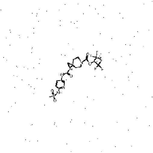 CS(=O)(=O)Nc1ccc(NC(=O)[C@H]2CC23CCN(C(=O)OC(C(F)(F)F)C(F)(F)F)CC3)cn1